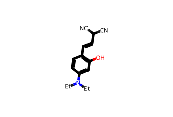 CCN(CC)c1ccc(/C=C/C(C#N)C#N)c(O)c1